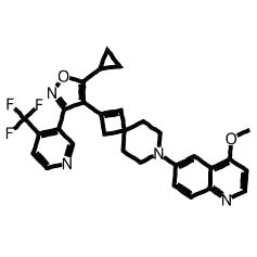 COc1ccnc2ccc(N3CCC4(C=C(c5c(-c6cnccc6C(F)(F)F)noc5C5CC5)C4)CC3)cc12